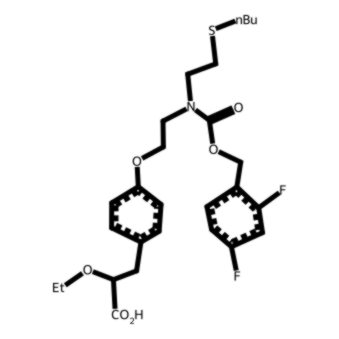 CCCCSCCN(CCOc1ccc(CC(OCC)C(=O)O)cc1)C(=O)OCc1ccc(F)cc1F